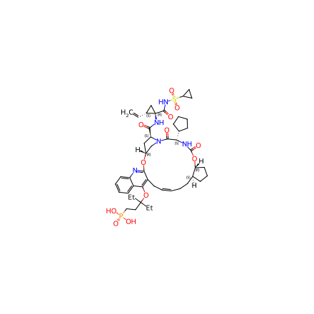 C=C[C@@H]1C[C@]1(NC(=O)[C@@H]1C[C@@H]2CN1C(=O)[C@H](C1CCCC1)NC(=O)O[C@@H]1CCC[C@H]1CCC=CCc1c(nc3ccccc3c1OC(CC)(CC)CCP(=O)(O)O)O2)C(=O)NS(=O)(=O)C1CC1